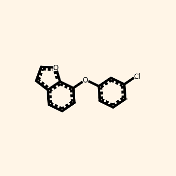 Clc1[c]ccc(Oc2cccc3ccoc23)c1